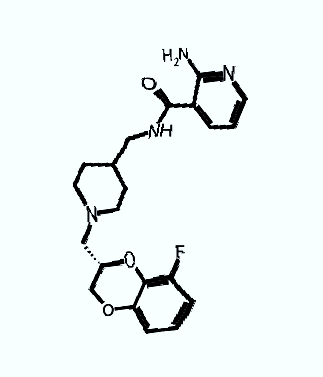 Nc1ncccc1C(=O)NCC1CCN(C[C@H]2COc3cccc(F)c3O2)CC1